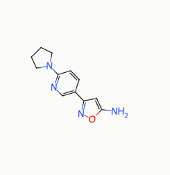 Nc1cc(-c2ccc(N3CCCC3)nc2)no1